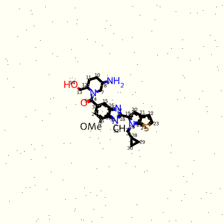 COc1cc(C(=O)N2CC(N)CCC2CO)cc2nc(-c3cc4ccsc4n3CC3CC3)n(C)c12